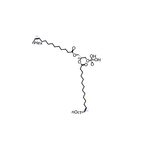 CCCCCC/C=C\CCCCCCCCCC(=O)OC[C@H](COP(=O)(O)O)OC(=O)CCCCCCCCCCC/C=C\CCCCCCCC